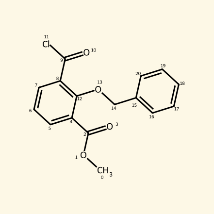 COC(=O)c1cccc(C(=O)Cl)c1OCc1ccccc1